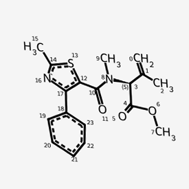 C=C(C)[C@@H](C(=O)OC)N(C)C(=O)c1sc(C)nc1-c1ccccc1